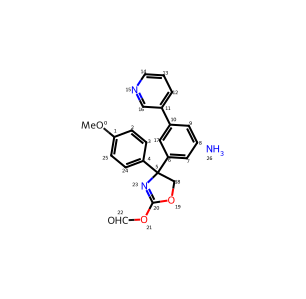 COc1ccc(C2(c3cccc(-c4cccnc4)c3)COC(OC=O)=N2)cc1.N